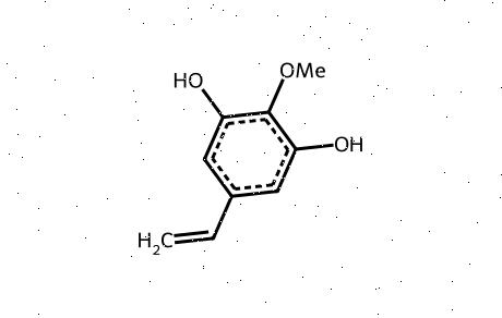 C=Cc1cc(O)c(OC)c(O)c1